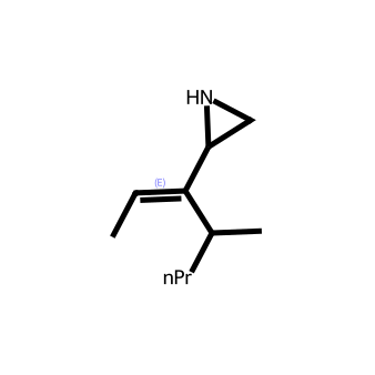 C/C=C(\C(C)CCC)C1CN1